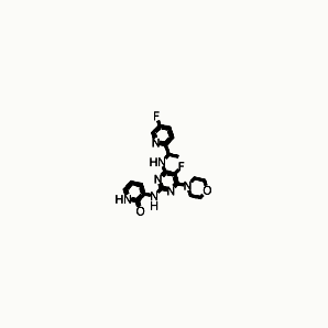 CC(Nc1nc(Nc2ccc[nH]c2=O)nc(N2CCOCC2)c1F)c1ccc(F)cn1